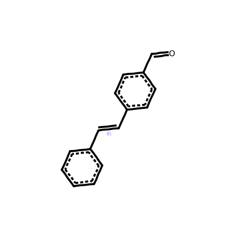 O=Cc1ccc(/C=C/c2ccccc2)cc1